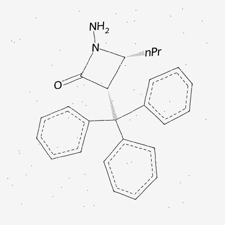 CCC[C@@H]1[C@H](C(c2ccccc2)(c2ccccc2)c2ccccc2)C(=O)N1N